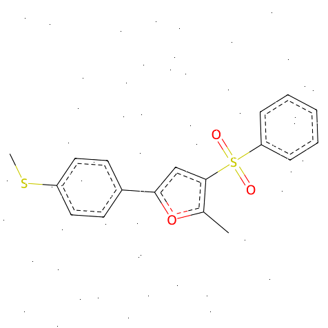 CSc1ccc(-c2cc(S(=O)(=O)c3ccccc3)c(C)o2)cc1